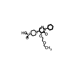 CCOCCOc1c(N2CCN(S(=O)O)CC2)cnn(-c2ccccc2)c1=O